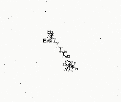 CCO[Si](C)(CCCCCCCCCCCN([Si](C)(C)C)[Si](C)(C)C)OCC